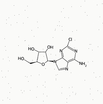 Nc1nc(Cl)nc2c1ncn2[C@H]1O[C@@H](CO)C(O)C1O